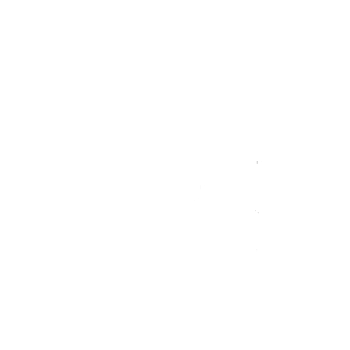 [2H]C(Oc1cc(Cl)c(/C=C/c2ccccc2)cc1F)c1c(-c2c(C)cccc2Cl)noc1C(C)C